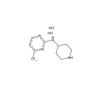 Cl.Cl.FC(F)(F)c1ccnc(NC2CCNCC2)n1